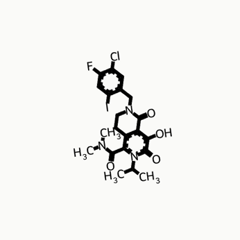 CC(C)n1c(C(=O)N(C)C)c2c(c(O)c1=O)C(=O)N(Cc1cc(Cl)c(F)cc1I)CC2